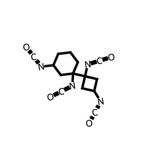 O=C=NC1CCCC(N=C=O)(C2(N=C=O)CC(N=C=O)C2)C1